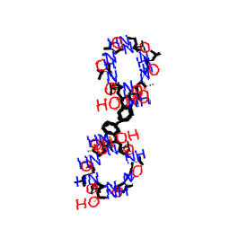 CC(C)C[C@@H]1NC(=O)[C@H]2CCCNN2C(=O)[C@H](C(C)C)N(C)C(=O)[C@@H](C(C)C)NC(=O)[C@@H]2C[C@@]3(O)c4cc(-c5ccc6c(c5)[C@]5(O)C[C@H]7C(=O)N[C@H](C(C)C)C(=O)N(C)[C@@H](C(C)C)C(=O)N8NC[C@H](O)C[C@@H]8C(=O)N[C@@H](CC(C)C)C(=O)N[C@H]([C@H](C)O)C(=O)N7[C@@H]5N6)ccc4N[C@H]3N2C(=O)[C@@H]([C@H](C)O)NC1=O